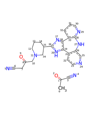 CC(=O)C#N.N#CCC(=O)CN1CCCC(c2nc3c([nH]2)-c2ccncc2Nc2ncccc2-3)C1